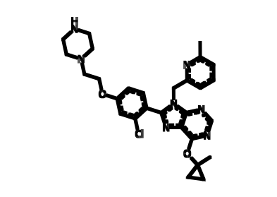 Cc1cccc(Cn2c(-c3ccc(OCCN4CCNCC4)cc3Cl)nc3c(OC4(C)CC4)ncnc32)n1